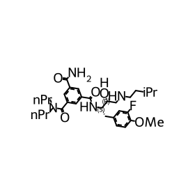 CCCN(CCC)C(=O)c1cc(C(N)=O)cc(C(=O)N[C@@H](Cc2ccc(OC)c(F)c2)[C@H](O)CNCCC(C)C)c1